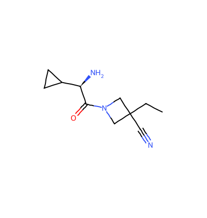 CCC1(C#N)CN(C(=O)[C@H](N)C2CC2)C1